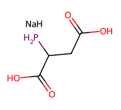 O=C(O)CC(P)C(=O)O.[NaH]